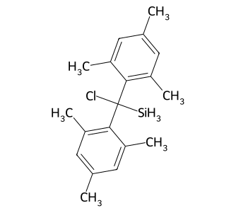 Cc1cc(C)c(C([SiH3])(Cl)c2c(C)cc(C)cc2C)c(C)c1